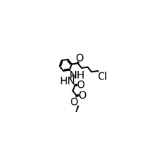 CCOC(=O)CC(=O)NNc1ccccc1C(=O)CCCCCl